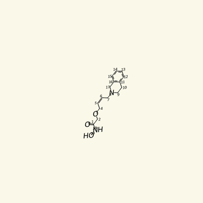 O=C(COC/C=C\CN1CCc2ccccc2C1)NO